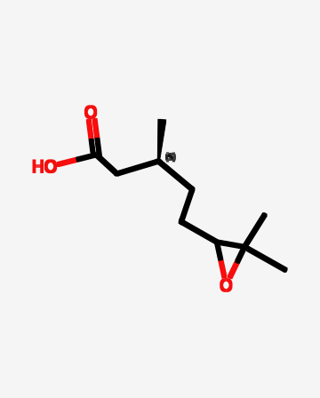 C[C@@H](CCC1OC1(C)C)CC(=O)O